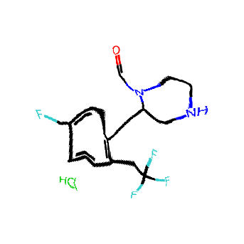 Cl.O=CN1CCNCC1c1cc(F)ccc1C(F)(F)F